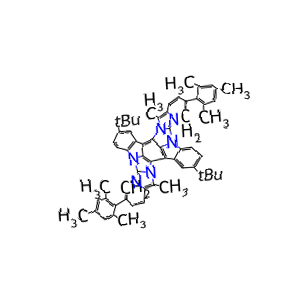 C=C(/C=C\c1nc2n(c1C)c1c3c4cc(C(C)(C)C)ccc4n4c3c(c3c5cc(C(C)(C)C)ccc5n2c31)n1c(C)c(/C=C\C(=C)c2c(C)cc(C)cc2C)nc14)c1c(C)cc(C)cc1C